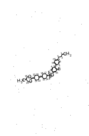 C=CCCc1ccc(-c2ccc(OC(F)(F)C3CCC(C4CCC(C5OCC(C)CO5)CC4)CC3)cc2F)cc1